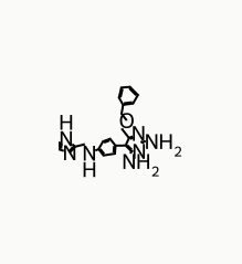 Nc1nc(N)c(-c2ccc(NCc3ncc[nH]3)cc2)c(COCc2ccccc2)n1